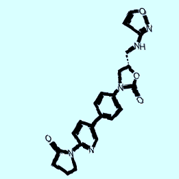 O=C1O[C@@H](CNc2ccon2)CN1c1ccc(-c2ccc(N3CCCC3=O)nc2)cc1